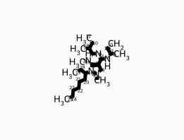 C=CC(C)N/C(=N/CC(C)CC)C1=C(NC)N(C(CC)CCCCCC)N(C)C1